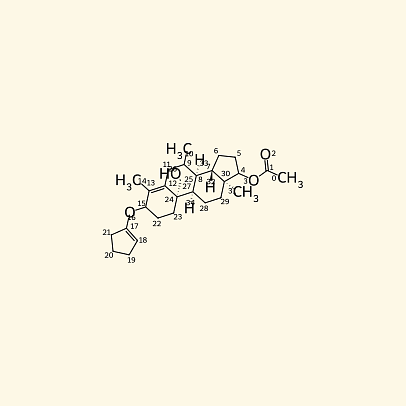 CC(=O)OC1CC[C@H]2[C@@H]3C(C)CC4=C(C)C(OC5=CCCC5)CC[C@]4(CO)[C@@H]3CC[C@]12C